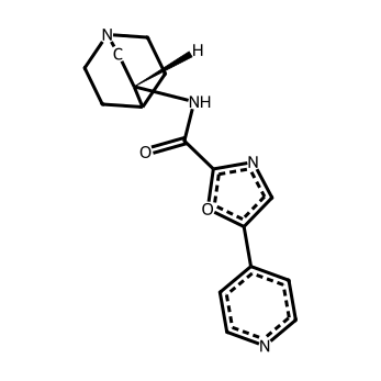 O=C(N[C@H]1CN2CCC1CC2)c1ncc(-c2ccncc2)o1